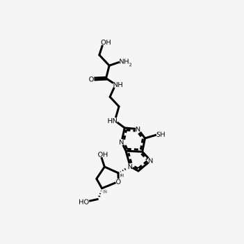 NC(CO)C(=O)NCCNc1nc(S)c2ncn([C@@H]3O[C@H](CO)CC3O)c2n1